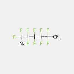 FC(F)(F)C(F)(F)C(F)(F)C(F)(F)C(F)(F)[C](F)(F)[Na]